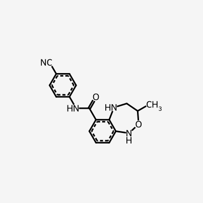 CC1CNc2c(cccc2C(=O)Nc2ccc(C#N)cc2)NO1